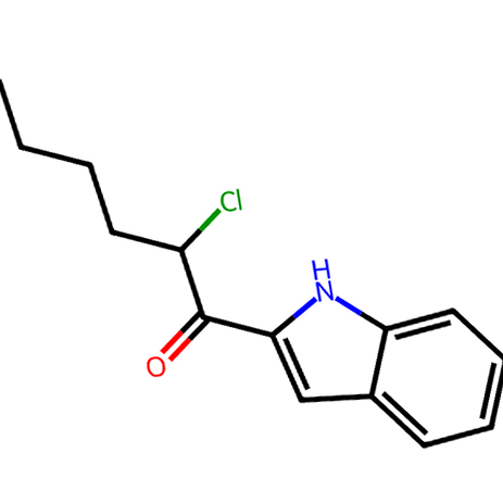 CCCCC(Cl)C(=O)c1cc2ccccc2[nH]1